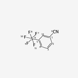 N#Cc1cccc(S(F)(F)(F)(F)F)c1